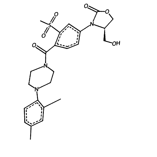 Cc1ccc(N2CCN(C(=O)c3ccc(N4C(=O)OC[C@H]4CO)cc3S(C)(=O)=O)CC2)c(C)c1